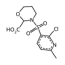 Cc1ccc(S(=O)(=O)N2CCCOC2C(=O)O)c(Cl)n1